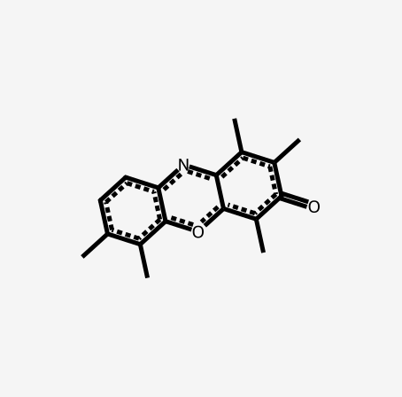 Cc1ccc2nc3c(C)c(C)c(=O)c(C)c-3oc2c1C